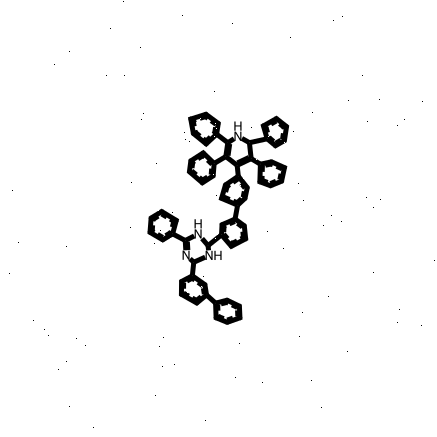 c1ccc(C2=NC(c3cccc(-c4ccccc4)c3)NC(c3cccc(-c4ccc(C5=C(c6ccccc6)C(c6ccccc6)NC(c6ccccc6)=C5c5ccccc5)cc4)c3)N2)cc1